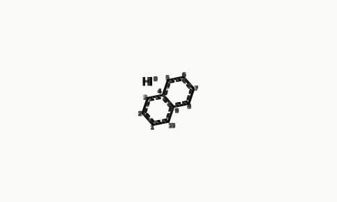 I.c1ccc2ccccc2c1